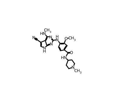 CNc1nc(Nc2ccc(C(=O)NC3CCN(C)CC3)cc2OC)nc2[nH]cc(C#N)c12